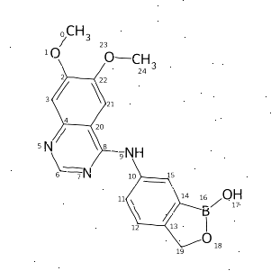 COc1cc2ncnc(Nc3ccc4c(c3)B(O)OC4)c2cc1OC